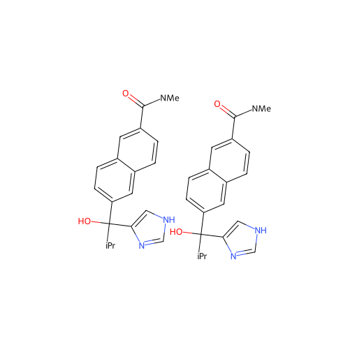 CNC(=O)c1ccc2cc(C(O)(c3c[nH]cn3)C(C)C)ccc2c1.CNC(=O)c1ccc2cc(C(O)(c3c[nH]cn3)C(C)C)ccc2c1